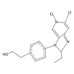 CCC1N=C2C=C(Cl)N(Cl)C=C2N1c1ccc(CCO)cc1